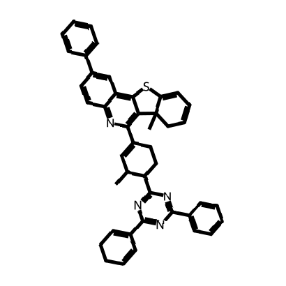 CC1C=C(c2nc3ccc(-c4ccccc4)cc3c3c2C2(C)CC=CC=C2S3)CCC1c1nc(C2=CCCC=C2)nc(-c2ccccc2)n1